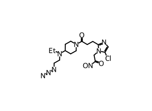 CCN(CCN=[N+]=[N-])C1CCN(C(=O)CCc2ncc(Cl)n2CC(=O)N=O)CC1